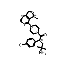 C[C@@H]1SCc2ncnc(N3CCN(C(=O)[C@@H](CC(C)(C)N)c4ccc(Cl)cc4)CC3)c21